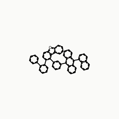 c1ccc(-c2ccccc2-c2ccc3oc4ccccc4c3c2-c2cccc(-c3c4ccccc4c(-c4cccc5ccccc45)c4ccccc34)c2)cc1